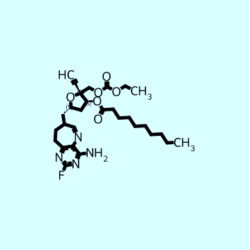 C#C[C@]1(COC(=O)OCC)O[C@@H](CC2C=Nc3c(N)nc(F)nc3CC2)C[C@@H]1OC(=O)CCCCCCCCC